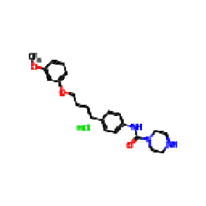 Cl.O=C(Nc1ccc(CCCCOc2cccc(OC(F)(F)F)c2)cc1)N1CCNCC1